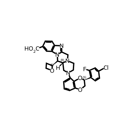 O=C(O)c1ccc2nc3n(c2c1)C([C@@H]1CCO1)[C@H]1CN(c2cccc4c2O[C@@H](c2ccc(Cl)cc2F)CO4)CCN1C3